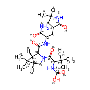 CC1(C)CC(CC(NC(=O)[C@@H]2[C@@H]3[C@H](CN2C(=O)C(NC(=O)O)C(C)(C)C)C3(C)C)C(N)=O)C(=O)N1